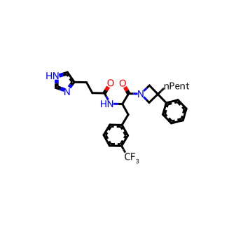 CCCCCC1(c2ccccc2)CN(C(=O)C(Cc2cccc(C(F)(F)F)c2)NC(=O)CCc2c[nH]cn2)C1